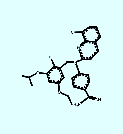 CCOc1cc(CN(c2ccc(C(=N)N)cc2)c2ccc3cccc(Cl)c3n2)c(F)c(OC(C)C)c1